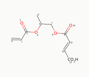 C=CC(=O)OC(C)COC(=O)C=CC(=O)O